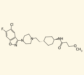 COCCC(=O)N[C@H]1CC[C@H](CCN2CCN(c3noc4cc(F)c(Cl)cc34)CC2)CC1